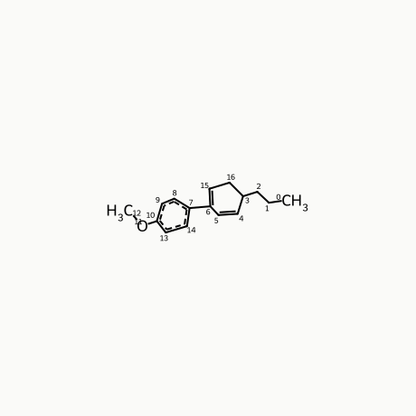 CCCC1C=CC(c2ccc(OC)cc2)=CC1